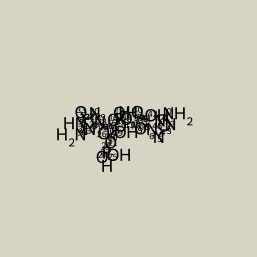 Nc1ncc2ncn([C@@H]3O[C@H](COP(=O)(O)O[C@H]4[C@@H](O)[C@@H](OC[PH](=O)O)O[C@H]4n4cnc5c(=O)[nH]c(N)nc54)[C@H](O)[C@@H]3O)c2n1